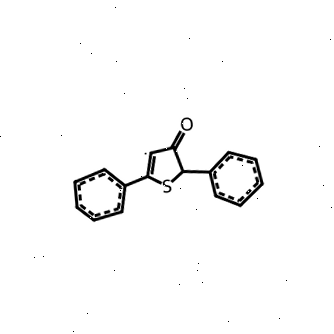 O=C1[C]=C(c2ccccc2)SC1c1ccccc1